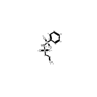 C=CCS(=O)(=O)NS(=O)(=O)c1ccccc1